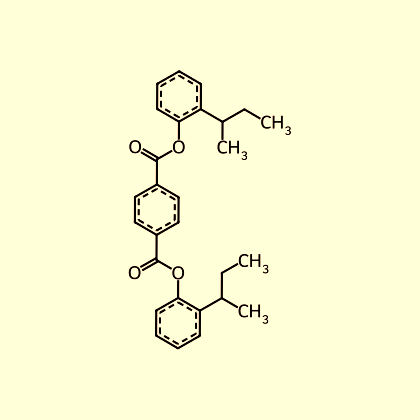 CCC(C)c1ccccc1OC(=O)c1ccc(C(=O)Oc2ccccc2C(C)CC)cc1